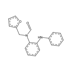 O=CN(Cc1ccco1)c1ccccc1Nc1ccccc1